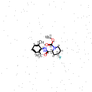 Cc1cccc(C)c1NC(=O)[C@@H]1C[C@@H](F)CCN1C(=O)OC(C)(C)C